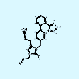 C#CCCc1nn(CCC(C)C)c(=O)n1Cc1ccc(-c2ccccc2-c2nnn[nH]2)cc1